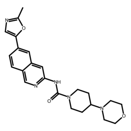 Cc1ncc(-c2ccc3cnc(NC(=O)N4CCC(N5CCOCC5)CC4)cc3c2)o1